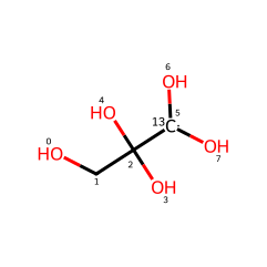 OCC(O)(O)[13C](O)O